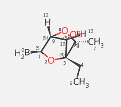 B[C@@H]1O[C@@]2(CC)[C@@H](C)O[C@@H]1[C@@H]2O